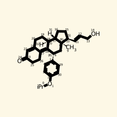 CC(C)Oc1ccc([C@H]2C[C@]3(C)[C@H](C=CCO)CC[C@H]3[C@@H]3CCC4=CC(=O)CCC4=C32)cc1